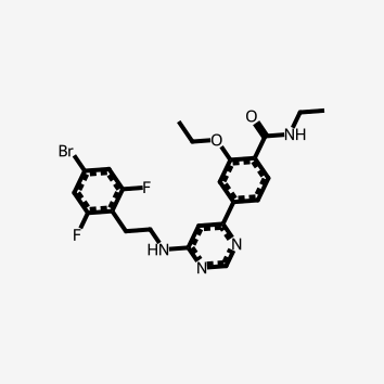 CCNC(=O)c1ccc(-c2cc(NCCc3c(F)cc(Br)cc3F)ncn2)cc1OCC